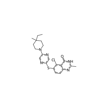 CCC1(C)CCN(c2cnc(Sc3ccc4nc(C)[nH]c(=O)c4c3Cl)cn2)CC1